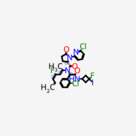 C=C/C=C(F)\C=C(/C)N(C(=O)[C@@H]1CCC(=O)N1c1cccc(Cl)n1)[C@H](C(=O)NC1CC(F)(I)C1)c1ccccc1Cl